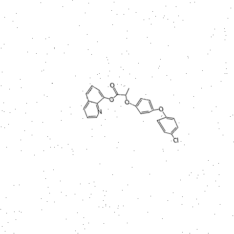 CC(Oc1ccc(Oc2ccc(Cl)cc2)cc1)C(=O)Oc1cccc2cccnc12